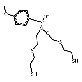 COc1ccc([S+]([O-])N(CCSCCS)CCSCCS)cc1